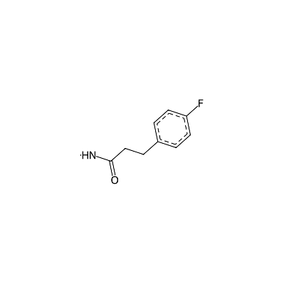 [NH]C(=O)CCc1ccc(F)cc1